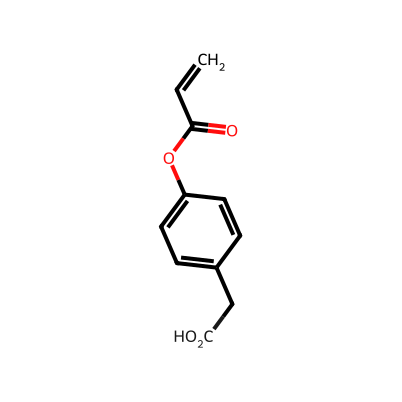 C=CC(=O)Oc1ccc(CC(=O)O)cc1